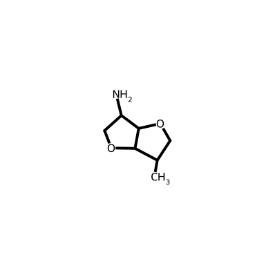 CC1COC2C(N)COC12